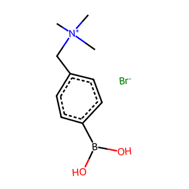 C[N+](C)(C)Cc1ccc(B(O)O)cc1.[Br-]